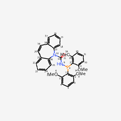 COc1cccc(OC)c1P(NC(=O)N1c2ccccc2C=Cc2ccccc21)c1c(OC)cccc1OC